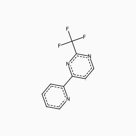 FC(F)(F)c1nc[c]c(-c2ccccn2)n1